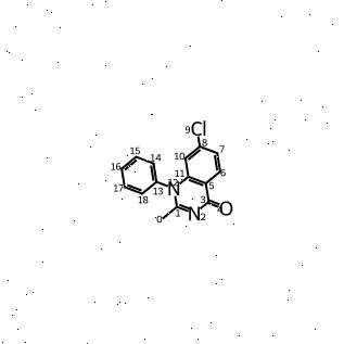 Cc1nc(=O)c2ccc(Cl)cc2n1-c1ccccc1